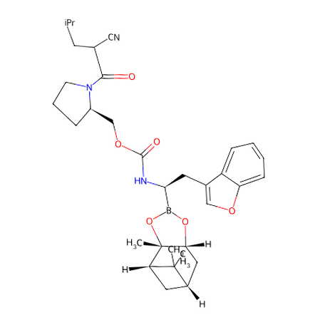 CC(C)CC(C#N)C(=O)N1CCC[C@@H]1COC(=O)N[C@@H](Cc1coc2ccccc12)B1O[C@@H]2C[C@@H]3C[C@@H](C3(C)C)[C@]2(C)O1